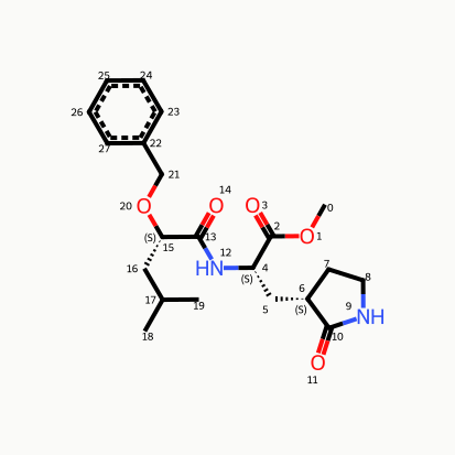 COC(=O)[C@H](C[C@@H]1CCNC1=O)NC(=O)[C@H](CC(C)C)OCc1ccccc1